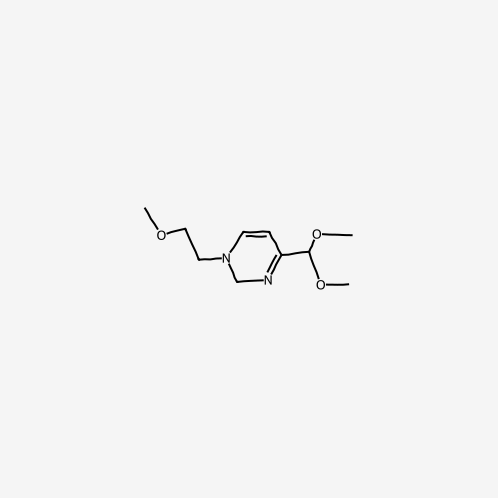 COCCN1C=CC(C(OC)OC)=NC1